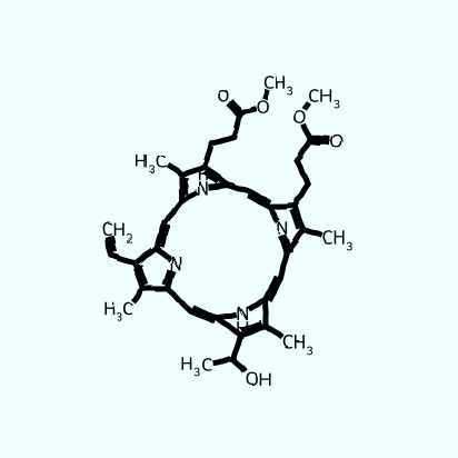 C=CC1=C(C)c2cc3[nH]c(cc4nc(cc5[nH]c(cc1n2)c(C)c5CCC(=O)OC)C(CCC(=O)OC)=C4C)c(C)c3C(C)O